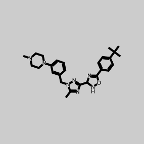 Cc1nc(C2N=C(c3ccc(C(C)(C)C)cc3)ON2)nn1Cc1cccc(N2CCN(C)CC2)c1